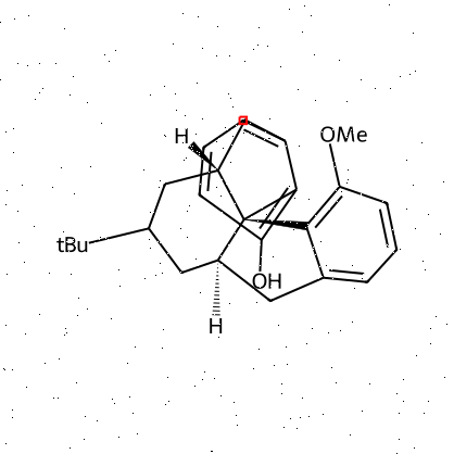 COc1cccc2c1[C@]13c4c(O)cccc4C[C@H]1CC(C(C)(C)C)C[C@@H]3C2